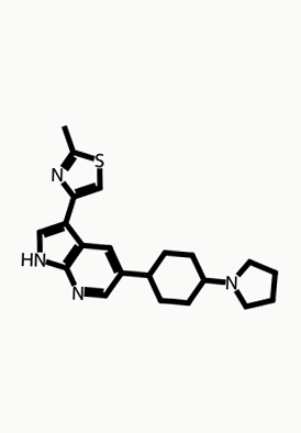 Cc1nc(-c2c[nH]c3ncc(C4CCC(N5CCCC5)CC4)cc23)cs1